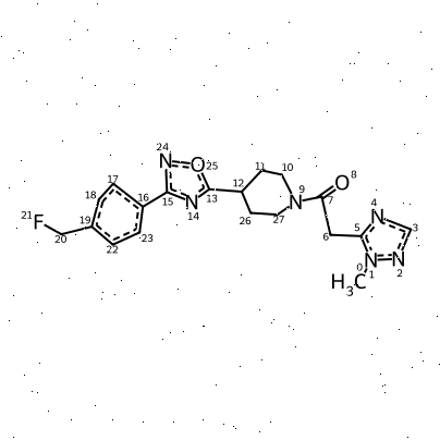 Cn1ncnc1CC(=O)N1CCC(c2nc(-c3ccc(CF)cc3)no2)CC1